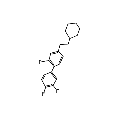 Fc1ccc(-c2ccc(CCC3CCCCC3)cc2F)cc1F